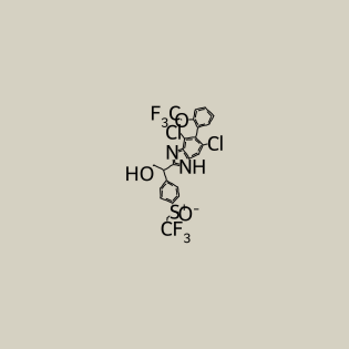 [O-][S+](CC(F)(F)F)c1ccc(C(CO)c2nc3c(Cl)c(-c4ccccc4OC(F)(F)F)c(Cl)cc3[nH]2)cc1